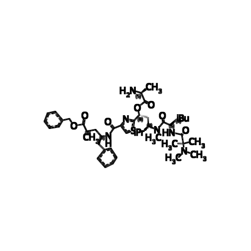 CC[C@H](C)[C@H](NC(=O)C(C)(C)N(C)C)C(=O)N(C)[C@H](C[C@@H](OC(=O)[C@H](C)N)c1nc(C(=O)N[C@@H](Cc2ccccc2)C[C@H](C)C(=O)OCc2ccccc2)cs1)C(C)C